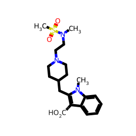 CN(CCN1CCC(Cc2c(C(=O)O)c3ccccc3n2C)CC1)S(C)(=O)=O